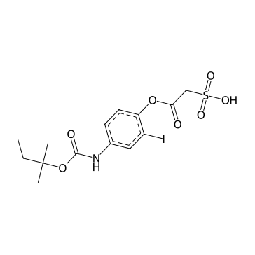 CCC(C)(C)OC(=O)Nc1ccc(OC(=O)CS(=O)(=O)O)c(I)c1